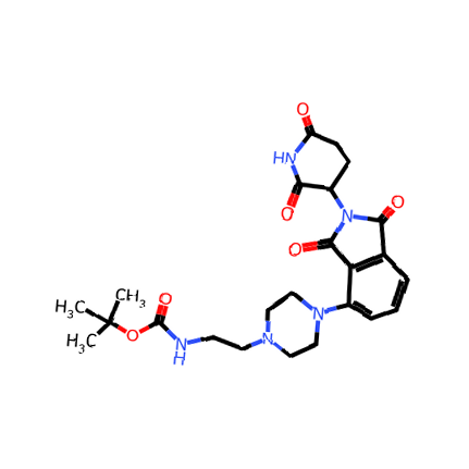 CC(C)(C)OC(=O)NCCN1CCN(c2cccc3c2C(=O)N(C2CCC(=O)NC2=O)C3=O)CC1